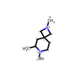 CC1CC2(CCN1C(C)(C)C)CN(C)C2